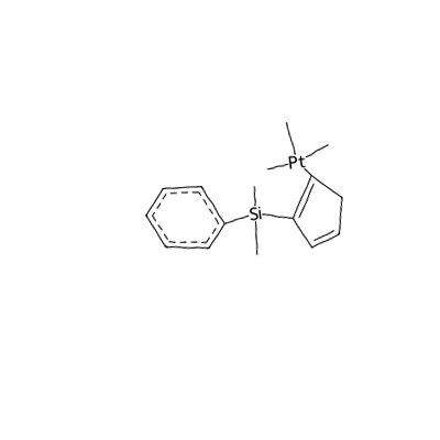 C[Si](C)(C1=[C]([Pt]([CH3])([CH3])[CH3])CC=C1)c1ccccc1